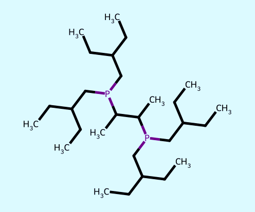 CCC(CC)CP(CC(CC)CC)C(C)C(C)P(CC(CC)CC)CC(CC)CC